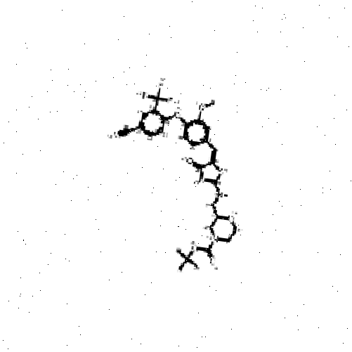 COc1cc(C=C2SC(NCC3CN(C(=O)OC(C)(C)C)CCO3)=NC2=O)ccc1Oc1ccc(C#N)cc1C(F)(F)F